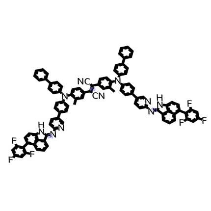 Cc1cc(/C(C#N)=C(\C#N)c2ccc(N(c3ccc(-c4ccccc4)cc3)c3ccc(-c4ccc(/N=C5\Nc6ccc(-c7c(F)cc(F)cc7F)c7cccc5c67)nc4)cc3)c(C)c2)ccc1N(c1ccc(-c2ccccc2)cc1)c1ccc(-c2ccc(/N=C3\Nc4ccc(-c5c(F)cc(F)cc5F)c5cccc3c45)nc2)cc1